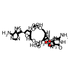 CC(C)(C)[Si](C)(C)OC1[C@H]2OP(=O)(O)OC[C@H]3O[C@@H](c4snc5c(N)ncnc45)C[C@@H]3OP(=O)(O)OC[C@H]1O[C@H]2n1nnc2c(=O)[nH]c(N)nc21